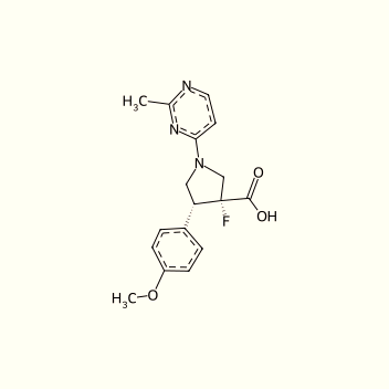 COc1ccc([C@@H]2CN(c3ccnc(C)n3)C[C@@]2(F)C(=O)O)cc1